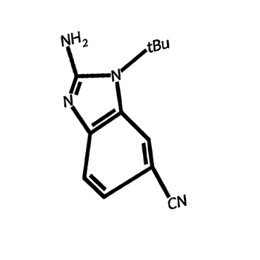 CC(C)(C)n1c(N)nc2ccc(C#N)cc21